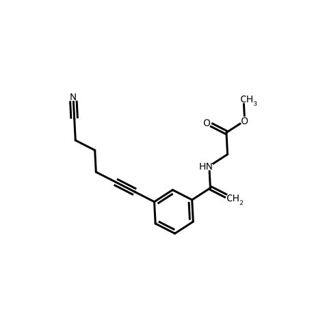 C=C(NCC(=O)OC)c1cccc(C#CCCCC#N)c1